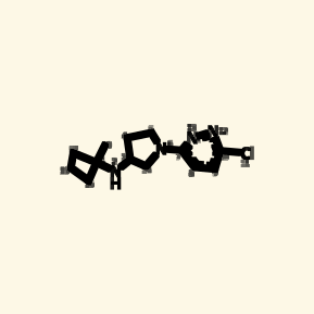 CC1(NC2CCN(c3ccc(Cl)nn3)C2)CCC1